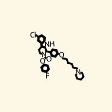 O=C(Oc1ccc(F)cc1)N1CCc2c([nH]c3ccc(Cl)cc23)C1c1ccc(OCCCCCCN2CCCCC2)cc1